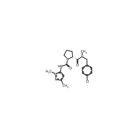 Cc1cc(NC(=O)N2CCC[C@@H]2C(=O)N(C)Cc2ccc(Cl)cc2)n(C)n1